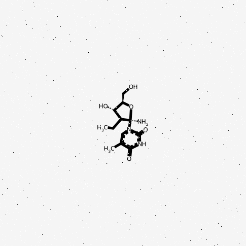 CCC1[C@H](O)[C@@H](CO)O[C@@]1(N)n1cc(C)c(=O)[nH]c1=O